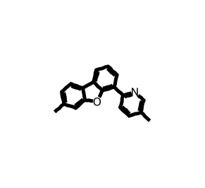 Cc1ccc(-c2cccc3c2oc2cc(C)ccc23)nc1